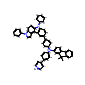 CC1(C)c2ccccc2-c2ccc(N(c3ccc(-c4ccncc4)cc3)c3ccc(-c4ccc5c(c4)c4c6ccn(-c7ccccc7)c6ccc4n5-c4ccccc4)cc3)cc21